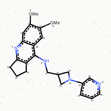 COc1cc2nc3c(c(NCC4CN(c5cccnc5)C4)c2cc1OC)CCC3